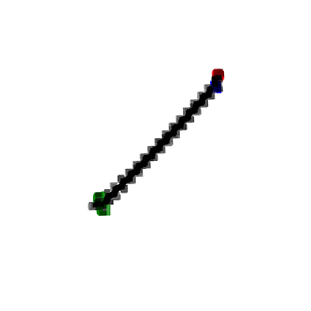 C[Si](Cl)(Cl)CCCCCCCCCCCCCCCCCCCCCCCCCCCCCCN=C=O